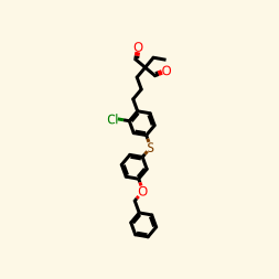 CCC(C=O)(C=O)CCCc1ccc(Sc2cccc(OCc3ccccc3)c2)cc1Cl